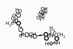 Cc1ccc(NC2CNC2)cc1C(=O)N[C@H](C)c1ccc(C#CC2CCN(CC3(O)CCN(C(=O)C4CCN(c5ccc6c(c5)n(C)c(=O)n6C5CCC(=O)NC5=O)CC4)CC3)CC2)c2ccccc12.O=C(O)C(F)(F)F.O=C(O)C(F)(F)F